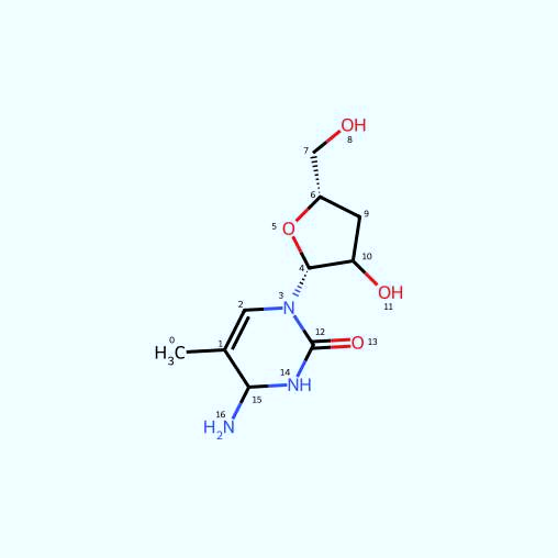 CC1=CN([C@@H]2O[C@H](CO)CC2O)C(=O)NC1N